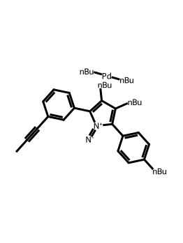 CC#Cc1cccc(C2=C(CCCC)C(CCCC)=C(c3ccc(CCCC)cc3)[N+]2=[N-])c1.CCC[CH2][Pd][CH2]CCC